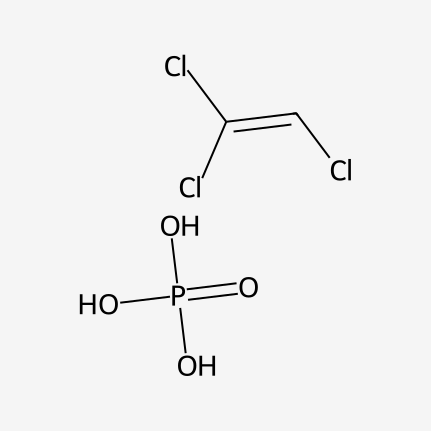 ClC=C(Cl)Cl.O=P(O)(O)O